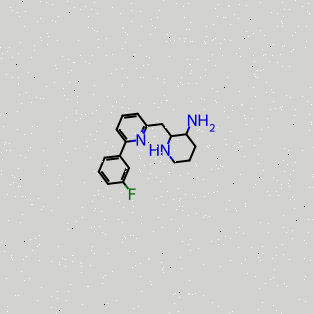 NC1CCCNC1Cc1cccc(-c2cccc(F)c2)n1